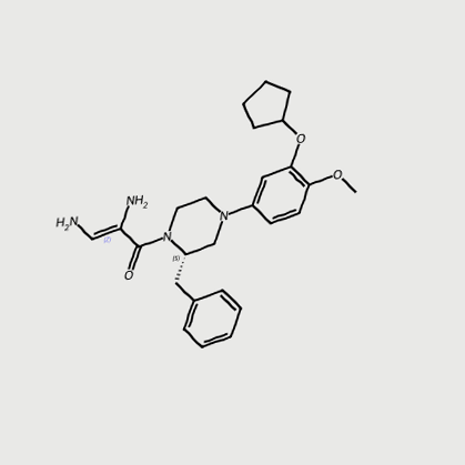 COc1ccc(N2CCN(C(=O)/C(N)=C/N)[C@@H](Cc3ccccc3)C2)cc1OC1CCCC1